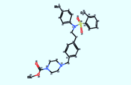 COc1ccc(N(CCc2ccc(CN3CCN(C(=O)OC(C)(C)C)CC3)cc2)S(=O)(=O)c2ccccc2[N+](=O)[O-])cc1